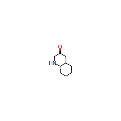 O=C1CNC2CCCCC2C1